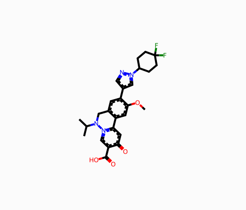 COc1cc2c(cc1-c1cnn(C3CCC(F)(F)CC3)c1)CN(C(C)C)n1cc(C(=O)O)c(=O)cc1-2